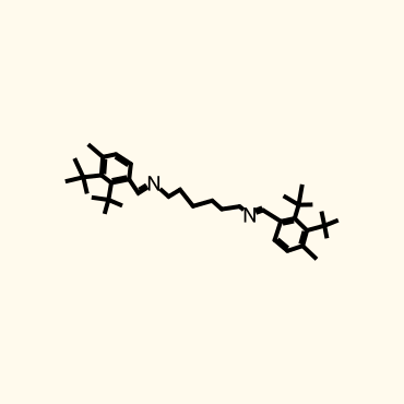 Cc1ccc(C=NCCCCCCN=Cc2ccc(C)c(C(C)(C)C)c2C(C)(C)C)c(C(C)(C)C)c1C(C)(C)C